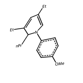 CCCC1C(CC)=CC(CC)=CN1c1ccc(OC)cc1